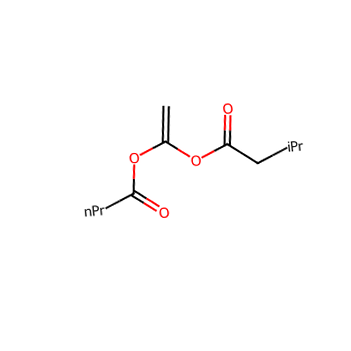 C=C(OC(=O)CCC)OC(=O)CC(C)C